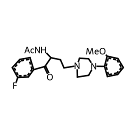 COc1ccccc1N1CCN(CCC(NC(C)=O)C(=O)c2cccc(F)c2)CC1